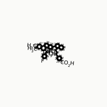 CN(Cc1ccc(F)cc1)c1cc(-c2ccc3ccccc3c2C(=O)C=Cc2ccc(C(=O)O)cc2)cc2ccc3c(c12)C(C)(C)CC1=C3C=CC(C)(C)C1